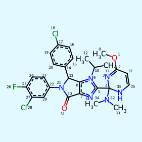 COC1=NC(c2nc3c(n2C(C)C)C(c2ccc(Cl)cc2)N(c2ccc(F)c(Cl)c2)C3=O)(N(C)C)NC=C1